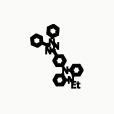 CCN1c2ccccc2N(c2ccc(-c3nc(-c4ccccc4)n(-c4ccccc4)n3)cc2)c2ccccc21